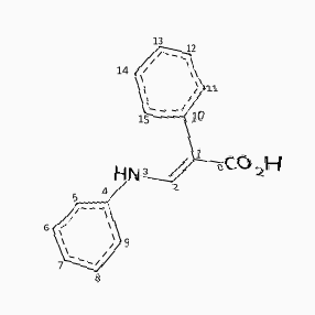 O=C(O)C(=CNc1ccccc1)c1ccccc1